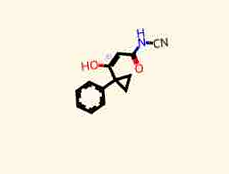 N#CNC(=O)/C=C(/O)C1(c2ccccc2)CC1